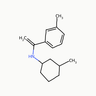 C=C(NC1CCCC(C)C1)c1cccc(C)c1